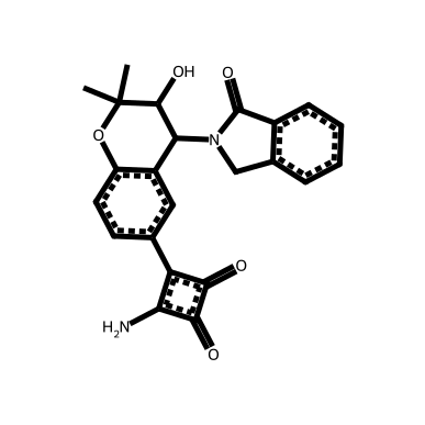 CC1(C)Oc2ccc(-c3c(N)c(=O)c3=O)cc2C(N2Cc3ccccc3C2=O)C1O